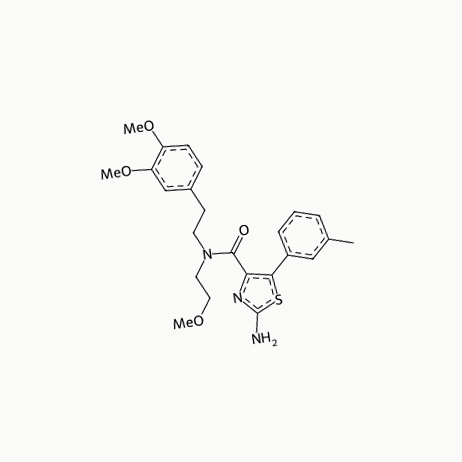 COCCN(CCc1ccc(OC)c(OC)c1)C(=O)c1nc(N)sc1-c1cccc(C)c1